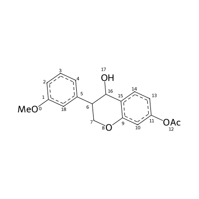 COc1cccc(C2COc3cc(OC(C)=O)ccc3C2O)c1